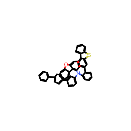 C1=C(c2ccccc2)CCC(c2cccc(N(c3ccccc3-c3ccc4c(c3)sc3ccccc34)c3cccc4oc5ccccc5c34)c2)=C1